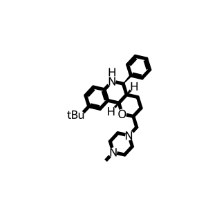 CN1CCN(CC2CC[C@@H]3[C@H](O2)c2cc(C(C)(C)C)ccc2N[C@H]3c2ccccc2)CC1